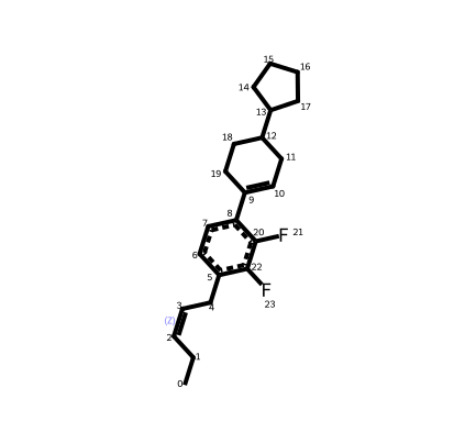 CC/C=C\Cc1ccc(C2=CCC(C3CCCC3)CC2)c(F)c1F